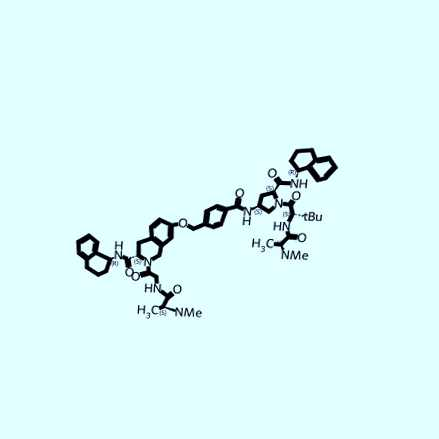 CN[C@@H](C)C(=O)NCC(=O)N1Cc2cc(OCc3ccc(C(=O)N[C@H]4C[C@@H](C(=O)N[C@@H]5CCCc6ccccc65)N(C(=O)[C@@H](NC(=O)[C@H](C)NC)C(C)(C)C)C4)cc3)ccc2C[C@H]1C(=O)N[C@@H]1CCCc2ccccc21